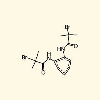 CC(C)(Br)C(=O)Nc1ccccc1NC(=O)C(C)(C)Br